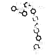 COc1cc(N2CCN(C(=O)CN3CCC(c4ccc(NC5CCC(=O)NC5=O)cc4)CC3)CC2)ccc1Nc1ncc(C(F)(F)F)c(Nc2ccccc2C(=O)Nc2ccccc2)n1